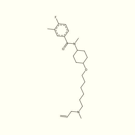 C=CCN(C)CCCCCCOC1CCC(N(C)C(=O)c2ccc(F)c(C)c2)CC1